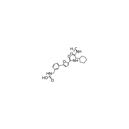 CNC(=O)[C@@H](NC(=O)c1ccc(-c2cccc(CNC(=O)O)c2)o1)C1CCCCC1